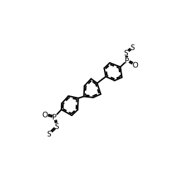 O=P(=S=S)c1ccc(-c2ccc(-c3ccc(P(=O)=S=S)cc3)cc2)cc1